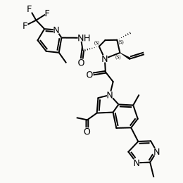 C=C[C@@H]1[C@@H](C)C[C@@H](C(=O)Nc2nc(C(F)(F)F)ccc2C)N1C(=O)Cn1cc(C(C)=O)c2cc(-c3cnc(C)nc3)cc(C)c21